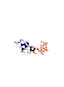 Cc1nc(N(C)C)c2ncn([C@@H]3O[C@H](COP(=O)(O)OP(=O)(O)OP(=O)(O)O)[C@@H](O)[C@@]3(C)F)c2n1